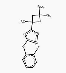 CNC1(C)CC(C)(c2nnc(Oc3ccccc3F)o2)C1